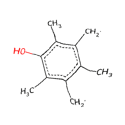 [CH2]c1c(C)c([CH2])c(C)c(O)c1C